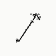 CCCN(CCCNC(=O)CC1(O)CC1)C(=O)C1=Cc2sc(CCCCCNC(=O)CCOCCOCCOCCOCCOCCOCCOCCOCCOCCOCCC(=O)Oc3c(F)c(C)cc(F)c3F)cc2N=C(N)C1